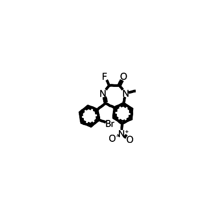 CN1C(=O)C(F)N=C(c2ccccc2Br)c2cc([N+](=O)[O-])ccc21